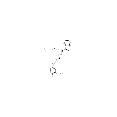 COCCC/C(=N\NC(=O)CNC(=O)c1ccc(OC)c(OC)c1)c1csc2ccccc12